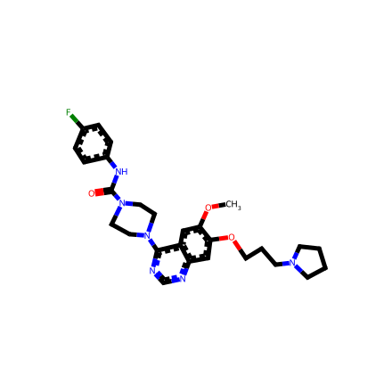 COc1cc2c(N3CCN(C(=O)Nc4ccc(F)cc4)CC3)ncnc2cc1OCCCN1CCCC1